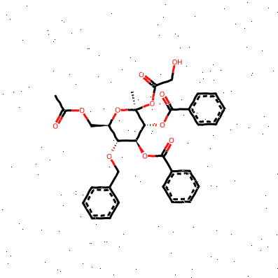 CC(=O)OC[C@H]1O[C@@](C)(OC(=O)CO)[C@H](OC(=O)c2ccccc2)[C@@H](OC(=O)c2ccccc2)[C@@H]1OCc1ccccc1